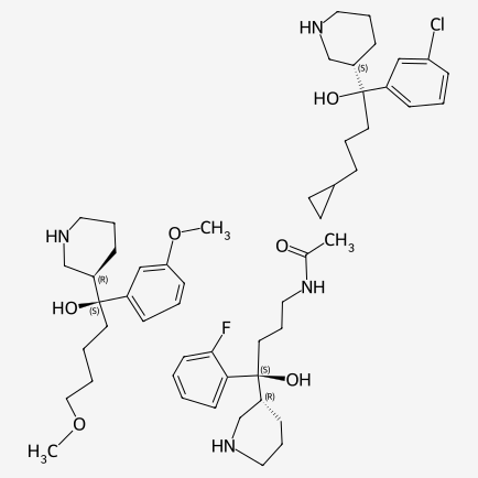 CC(=O)NCCC[C@@](O)(c1ccccc1F)[C@@H]1CCCNC1.COCCCC[C@@](O)(c1cccc(OC)c1)[C@@H]1CCCNC1.OC(CCCC1CC1)(c1cccc(Cl)c1)[C@H]1CCCNC1